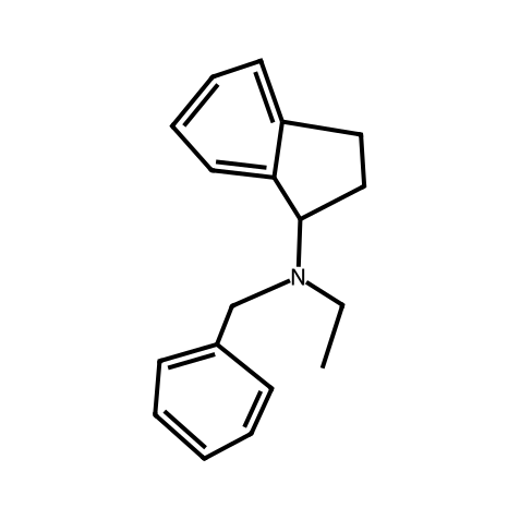 CCN(Cc1ccccc1)C1CCc2ccccc21